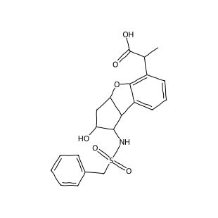 CC(C(=O)O)c1cccc2c1OC1CC(O)C(NS(=O)(=O)Cc3ccccc3)C21